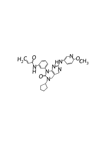 C=CC(=O)Nc1cccc(N2C(=O)N(C3CCCC3)Cc3cnc(Nc4ccc(OC)nc4)nc32)c1